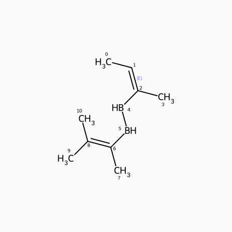 C/C=C(/C)BBC(C)=C(C)C